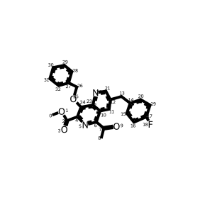 COC(=O)c1nc(C(C)=O)c2cc(Cc3ccc(F)cc3)cnc2c1OCc1ccccc1